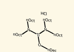 CCCCCCCCCC[O][Ti]([N](CCCCCCCC)CCCCCCCC)[N](CCCCCCCC)CCCCCCCC.Cl